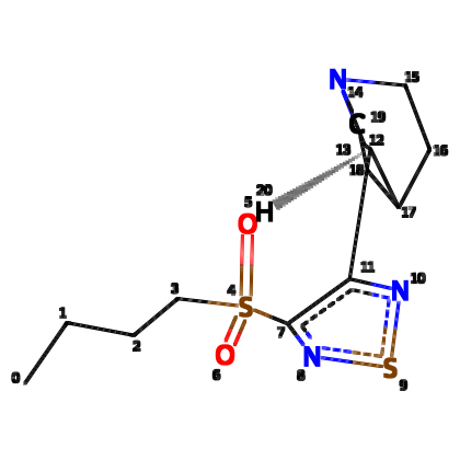 CCCCS(=O)(=O)c1nsnc1[C@@H]1CN2CCC1CC2